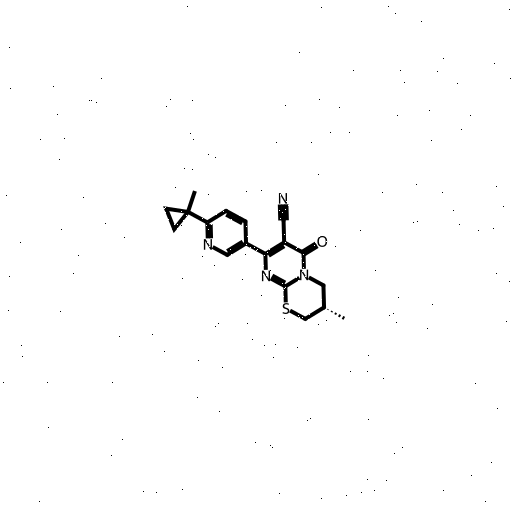 C[C@@H]1CSc2nc(-c3ccc(C4(C)CC4)nc3)c(C#N)c(=O)n2C1